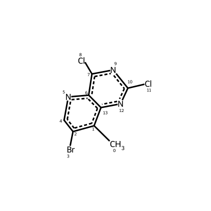 Cc1c(Br)cnc2c(Cl)nc(Cl)nc12